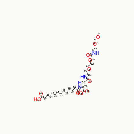 COCCOCCNC(=O)COCCOCCNC(=O)CC[C@H](NC(=O)CCCCCCCCCCCCC(=O)O)C(=O)O